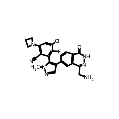 Cn1ncc(-c2ccc3c(=O)[nH]nc(CN)c3c2)c1-c1c(F)c(Cl)cc(N2CCC2)c1C#N